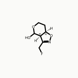 OC1OCC[C@H]2ON=C(CF)[C@@H]12